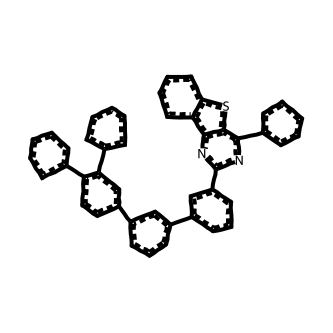 c1ccc(-c2ccc(-c3cccc(-c4cccc(-c5nc(-c6ccccc6)c6sc7ccccc7c6n5)c4)c3)cc2-c2ccccc2)cc1